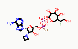 Nc1ncnc2c1ncn2[C@@H]1O[C@H](COP(=O)(S)OP(=O)(O)OC2OCC([C@@H](F)CO)C(O)C(O)C2O)[C@@H](O)[C@H]1N1CCC1